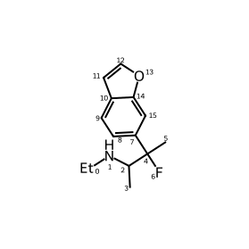 CCNC(C)C(C)(F)c1ccc2ccoc2c1